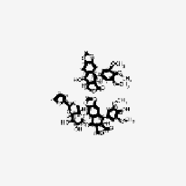 COc1cc([C@@H]2c3cc4c(cc3C(O[C@@H]3O[C@@H]5COC(c6cccs6)O[C@H]5[C@H](O)[C@H]3O)C3COC(=O)[C@@H]32)OCO4)cc(OC)c1O.COc1cc([C@@H]2c3cc4c(cc3[C@H](O)[C@H]3COC(=O)[C@H]23)OCO4)cc(OC)c1OC